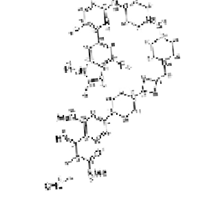 CNC(=O)C(CCC=O)C(=N)c1ccc(C2CCN(C3CC(CN4CCC(SN5CCC(Nc6ncc(F)c(-c7cc(F)c8nc(C)n(C(C)C)c8c7)n6)CC5)CC4)C3)CC2)cc1NC